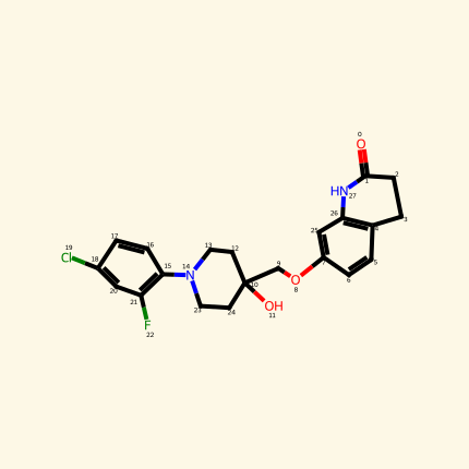 O=C1CCc2ccc(OCC3(O)CCN(c4ccc(Cl)cc4F)CC3)cc2N1